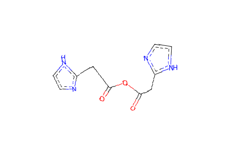 O=C(Cc1ncc[nH]1)OC(=O)Cc1ncc[nH]1